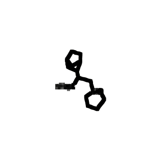 CCCCCCCC(C[SiH]1CCCCO1)C1CC2CCC1C2